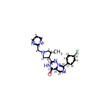 C[C@H]1CN(Cc2ncccn2)C[C@@H]1c1nn2c(-c3ccc(F)cc3)ncc2c(=O)[nH]1